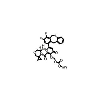 CCCOC(=O)OCOc1c2n(c(-c3cc(F)c(F)c4c3Cc3ccccc3SC4)cc1=O)N[C@@H]1COCC3(CC3)N1C2=O